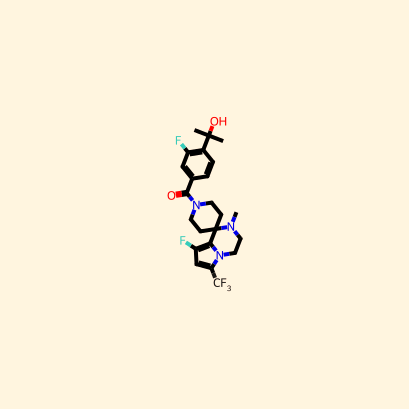 CN1CCn2c(C(F)(F)F)cc(F)c2C12CCN(C(=O)c1ccc(C(C)(C)O)c(F)c1)CC2